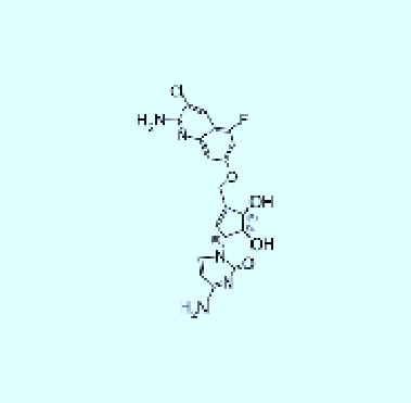 Nc1ccn([C@@H]2C=C(COc3cc(F)c4cc(Cl)c(N)nc4c3)[C@@H](O)[C@H]2O)c(=O)n1